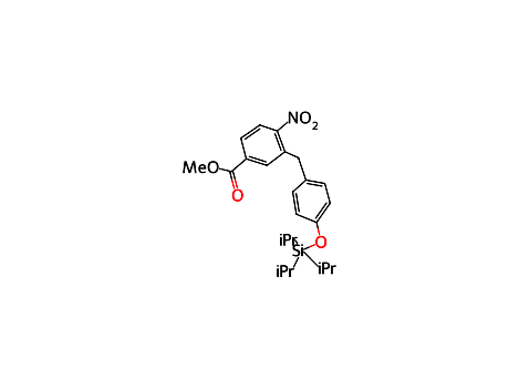 COC(=O)c1ccc([N+](=O)[O-])c(Cc2ccc(O[Si](C(C)C)(C(C)C)C(C)C)cc2)c1